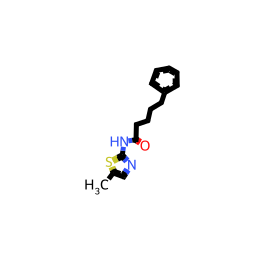 Cc1cnc(NC(=O)CCCCc2ccccc2)s1